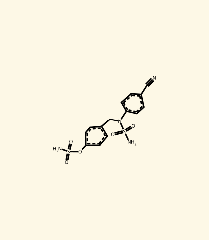 N#Cc1ccc(N(Cc2ccc(OS(N)(=O)=O)cc2)S(N)(=O)=O)cc1